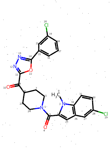 Cn1c(C(=O)N2CCC(C(=O)c3nnc(-c4cccc(Cl)c4)o3)CC2)cc2cc(Cl)ccc21